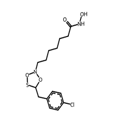 O=C(CCCCCCN1OSC(Cc2ccc(Cl)cc2)O1)NO